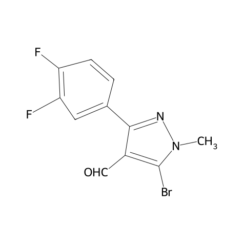 Cn1nc(-c2ccc(F)c(F)c2)c(C=O)c1Br